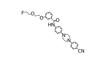 N#Cc1ccc(N2CCN(c3ccc(NC(=O)c4cccc(OCCOCCF)c4)cc3)CC2)cc1